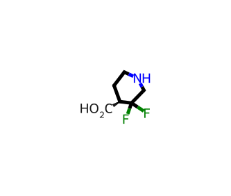 O=C(O)[C@H]1CCNCC1(F)F